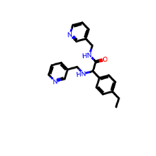 CCc1ccc(C(NCc2cccnc2)C(=O)NCc2cccnc2)cc1